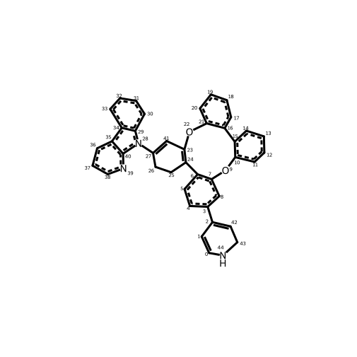 C1=CC(c2ccc3c(c2)Oc2ccccc2-c2ccccc2OC2=C3CCC(n3c4ccccc4c4cccnc43)=C2)=CCN1